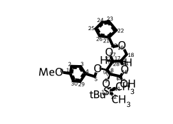 COc1ccc(CO[C@@H]2[C@H](O[Si](C)(C)C(C)(C)C)[C@@H](O)O[C@@H]3COC(c4ccccc4)O[C@@H]23)cc1